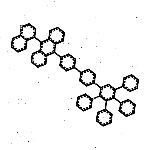 c1ccc(-c2cc(-c3ccc(-c4ccc(-c5c6ccccc6c(-c6ccnc7ccccc67)c6ccccc56)cc4)cc3)c(-c3ccccc3)c(-c3ccccc3)c2-c2ccccc2)cc1